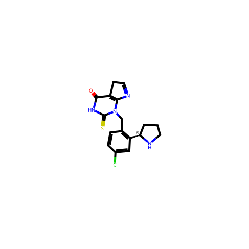 O=c1[nH]c(=S)n(Cc2ccc(Cl)cc2[C@H]2CCCN2)c2c1CC=N2